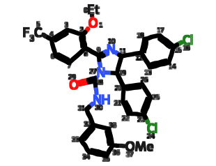 CCOc1cc(C(F)(F)F)ccc1C1=NC(c2ccc(Cl)cc2)C(c2ccc(Cl)cc2)N1C(=O)NCc1cccc(OC)c1